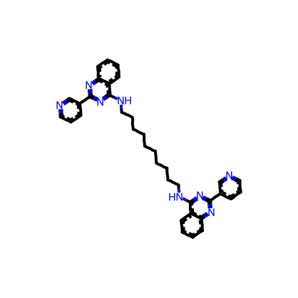 c1cncc(-c2nc(NCCCCCCCCCCNc3nc(-c4cccnc4)nc4ccccc34)c3ccccc3n2)c1